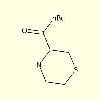 CCCCC(=O)C1CSCC[N]1